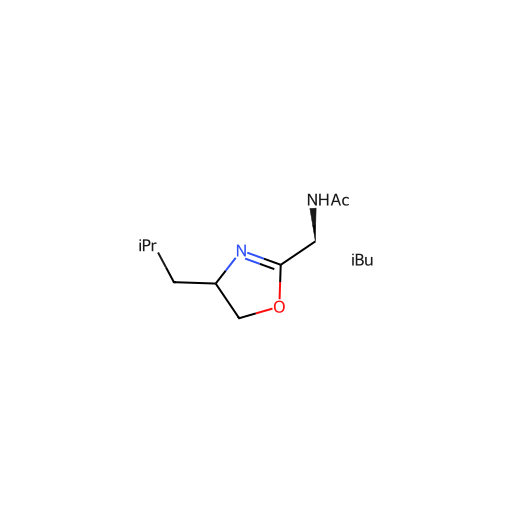 CC[C@H](C)[C@H](NC(C)=O)C1=NC(CC(C)C)CO1